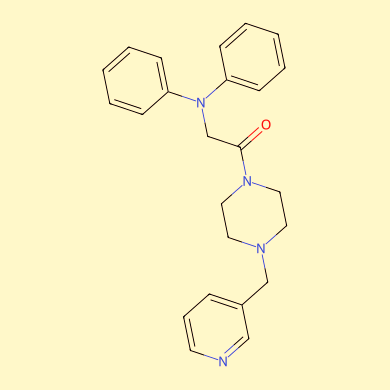 O=C(CN(c1ccccc1)c1ccccc1)N1CCN(Cc2cccnc2)CC1